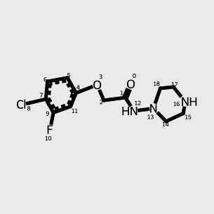 O=C(COc1ccc(Cl)c(F)c1)NN1CCNCC1